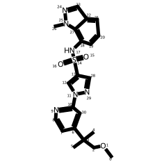 COCC(C)(C)c1ccnc(-n2cc(S(=O)(=O)Nc3cccc4cnn(C)c34)cn2)c1